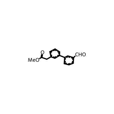 COC(=O)Cc1cccc(-c2cccc(C=O)c2)c1